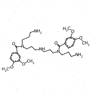 COc1ccc(C(=O)N(CCCN)CCCNCCCN(CCCN)C(=O)c2ccc(OC)c(OC)c2)cc1OC